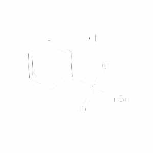 CCCCS(=O)(=O)c1ccccc1Cl